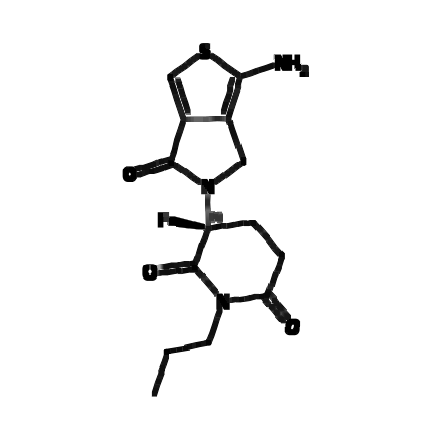 CCCN1C(=O)CC[C@@](F)(N2Cc3c(csc3N)C2=O)C1=O